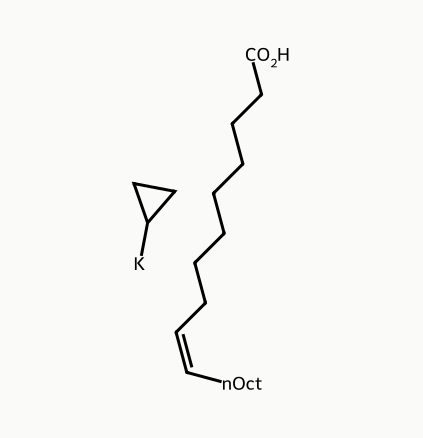 CCCCCCCC/C=C\CCCCCCCC(=O)O.[K][CH]1CC1